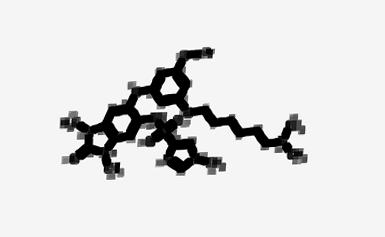 CCCOc1cc(OCCCCCCN(C)C)cc(Oc2cc3c(cc2NS(=O)(=O)c2cn(C)cn2)n(C)c(=O)n3C)c1